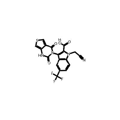 N#CCn1c(C(=O)O)c(-n2c(=O)[nH]c3cscc3c2=O)c2cc(C(F)(F)F)ccc21